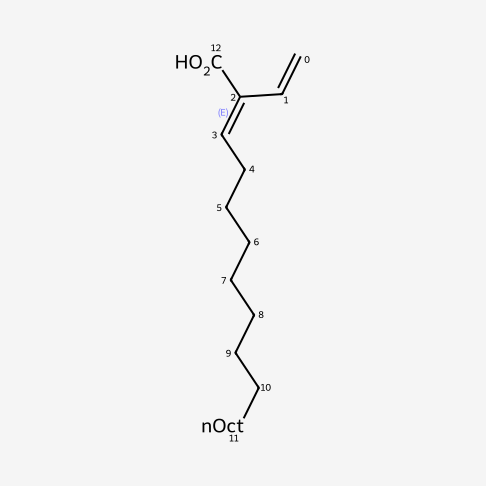 C=C/C(=C\CCCCCCCCCCCCCCC)C(=O)O